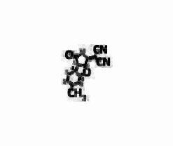 Cc1ccc2c3c(oc2c1)C(=C(C#N)C#N)CC3=O